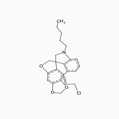 CCCCCN1CC2(COc3cc4c(cc32)OCO4)c2c(/C=C\CCl)cccc21